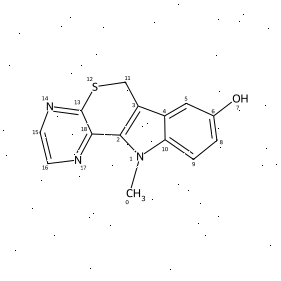 Cn1c2c(c3cc(O)ccc31)CSc1nccnc1-2